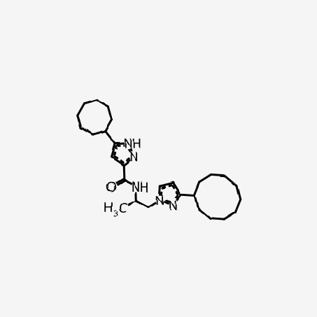 C[C@H](Cn1ccc(C2CCCCCCCCC2)n1)NC(=O)c1cc(C2CCCCCCC2)[nH]n1